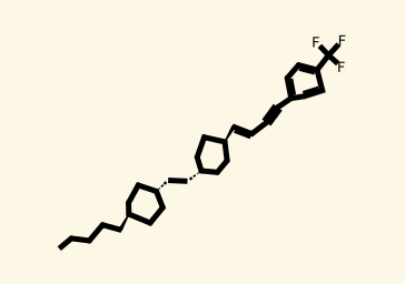 CCCCC[C@H]1CC[C@H](CC[C@H]2CC[C@H](C=CC#Cc3ccc(C(F)(F)F)cc3)CC2)CC1